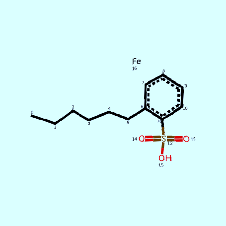 CCCCCCc1ccccc1S(=O)(=O)O.[Fe]